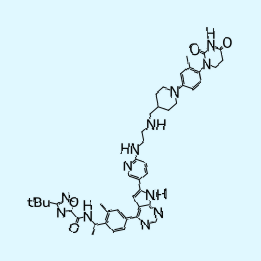 Cc1cc(-c2ncnc3[nH]c(-c4ccc(NCCNCC5CCN(c6ccc(N7CCC(=O)NC7=O)c(C)c6)CC5)nc4)cc23)ccc1[C@@H](C)NC(=O)c1nc(C(C)(C)C)no1